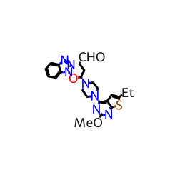 CCc1cc2c(N3CCN(C(CCC=O)On4nnc5ccccc54)CC3)nc(OC)nc2s1